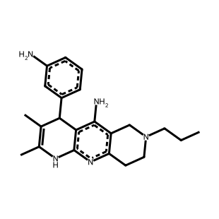 CCCN1CCc2nc3c(c(N)c2C1)C(c1cccc(N)c1)C(C)=C(C)N3